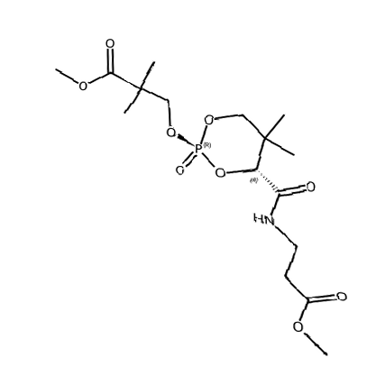 COC(=O)CCNC(=O)[C@@H]1O[P@@](=O)(OCC(C)(C)C(=O)OC)OCC1(C)C